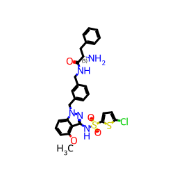 COc1cccc2c1c(NS(=O)(=O)c1ccc(Cl)s1)nn2Cc1cccc(CNC(=O)[C@@H](N)Cc2ccccc2)c1